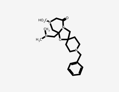 CN(C)CC12CN(C(=O)O)CC(=O)N1CC1(CCN(Cc3ccccc3)CC1)O2